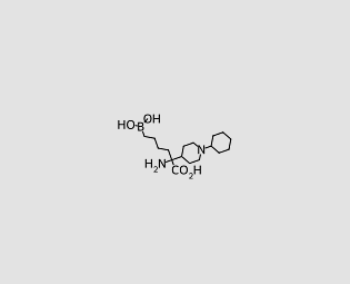 NC(CCCCB(O)O)(C(=O)O)C1CCN(C2CCCCC2)CC1